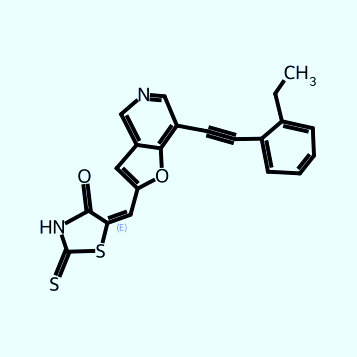 CCc1ccccc1C#Cc1cncc2cc(/C=C3/SC(=S)NC3=O)oc12